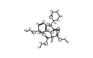 CCOC(=O)C(C)(C(=O)OCC)C1C(=O)N(C2CCCCO2)c2ccc(OCC)cc21